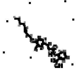 CCCCC#CCCOc1ccc(/C=C/C(=O)Nc2ccccc2C(=O)O)cc1C